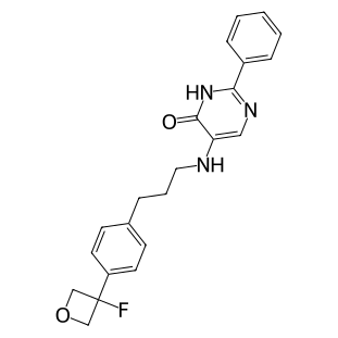 O=c1[nH]c(-c2ccccc2)ncc1NCCCc1ccc(C2(F)COC2)cc1